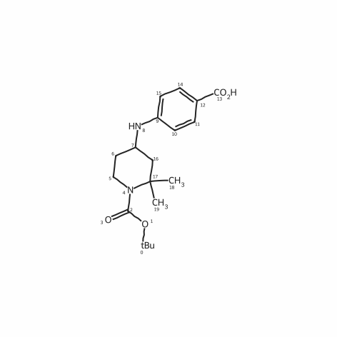 CC(C)(C)OC(=O)N1CCC(Nc2ccc(C(=O)O)cc2)CC1(C)C